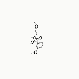 COCCN(C)S(=O)(=O)c1cccc(OC)c1